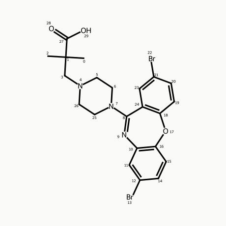 CC(C)(CN1CCN(C2=Nc3cc(Br)ccc3Oc3ccc(Br)cc32)CC1)C(=O)O